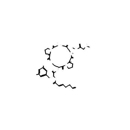 C=CCC/C=C/C(=O)N[C@@H](Cc1cc(F)cc(F)c1)C(=O)N[C@H]1COC(=O)[C@@H]2CCCN2C(=O)[C@H](C)NC(=O)[C@H](COC(=O)CN(C)C)N(C)C(=O)[C@@H]2CCCN2C1=O